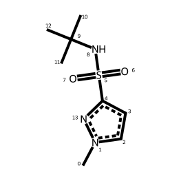 Cn1ccc(S(=O)(=O)NC(C)(C)C)n1